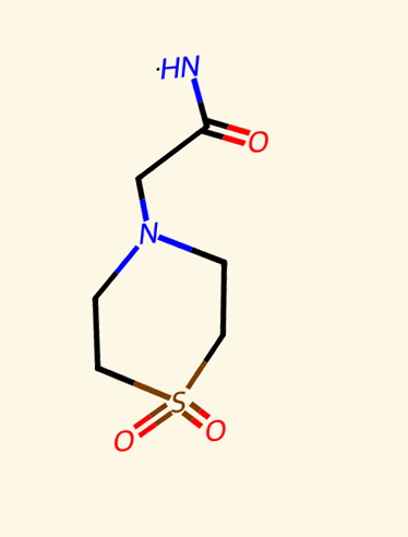 [NH]C(=O)CN1CCS(=O)(=O)CC1